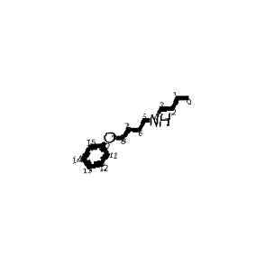 CCCCNCCCCOc1cc[c]cc1